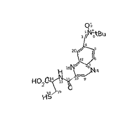 CC(C)(C)/[N+]([O-])=C\c1ccc2ncc(C(=O)NC(CS)C(=O)O)nc2c1